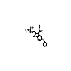 CCOC(=O)c1c(CNC(=N)N)n(C)c2ncc(OC3CCCC3)cc12